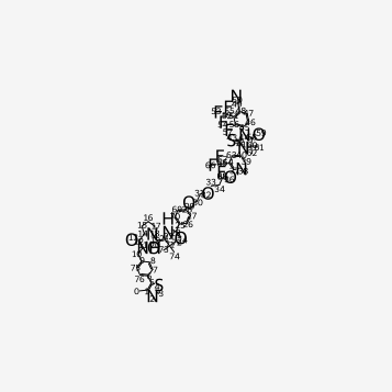 Cc1ncsc1-c1ccc(CNC(=O)C2CCCN2C(=O)C(NC(=O)c2ccc(OCCOCCCOc3ncc(N4C(=S)N(c5ccc(C#N)c(C(F)(F)F)c5F)C(=O)C4(C)C)cc3C(F)(F)F)cc2)C(C)(C)C)cc1